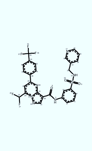 O=C(Nc1cccc(S(=O)(=O)NCc2cccnc2)c1)c1cnn2c(C(F)F)cc(-c3ccc(C(F)(F)F)cc3)nc12